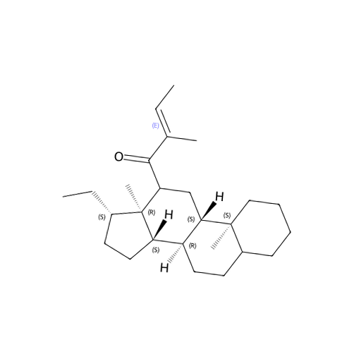 C/C=C(\C)C(=O)C1C[C@H]2[C@@H](CCC3CCCC[C@@]32C)[C@@H]2CC[C@H](CC)[C@@]12C